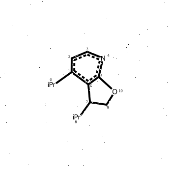 CC(C)c1ccnc2c1C(C(C)C)CO2